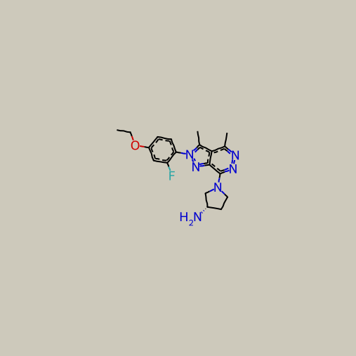 CCOc1ccc(-n2nc3c(N4CC[C@H](N)C4)nnc(C)c3c2C)c(F)c1